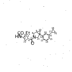 CCOC(=O)N[C@H]1C[C@@H](C(=O)N2CC3CC3(c3cccc(C4CC4)c3)C2)C1